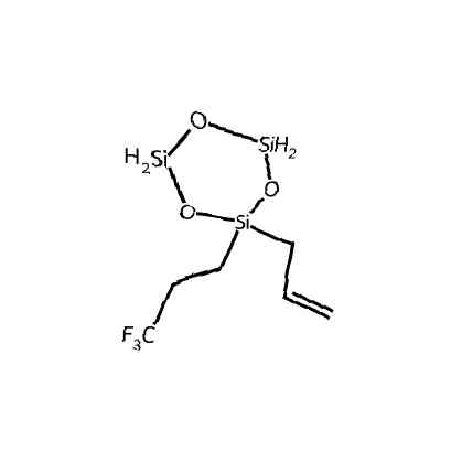 C=CC[Si]1(CCC(F)(F)F)O[SiH2]O[SiH2]O1